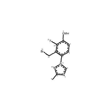 COc1ccc(-n2cnc(C)n2)c(CBr)c1F